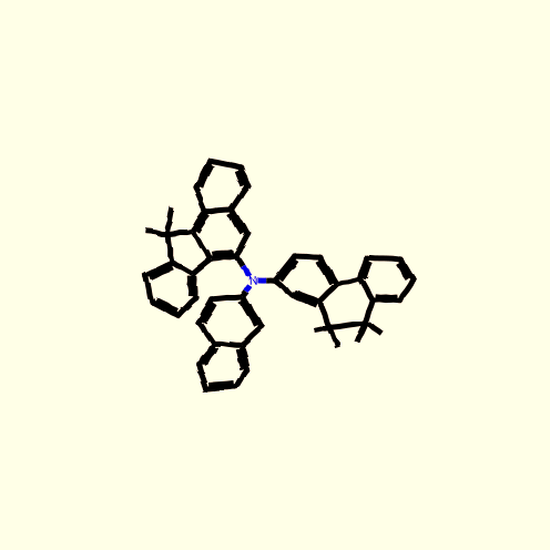 CC1(C)c2ccccc2-c2c(N(c3ccc4c(c3)C(C)(C)C(C)(C)c3ccccc3-4)c3ccc4ccccc4c3)cc3ccccc3c21